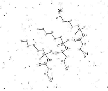 CCCCCCC(C)(C)OC(=O)CCS.CCCCCCC(C)(C)OC(=O)CCS.CCCCCCC(C)(C)OC(=O)CCS.[Sb]